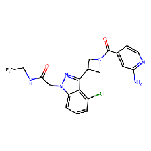 Nc1cc(C(=O)N2CC(c3nn(CC(=O)NCC(F)(F)F)c4cccc(Cl)c34)C2)ccn1